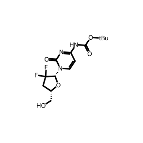 CC(C)(C)OC(=O)Nc1ccn([C@@H]2O[C@H](CO)CC2(F)F)c(=O)n1